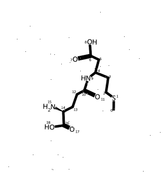 CSCCC(CC(=O)O)NC(=O)CC[C@H](N)C(=O)O